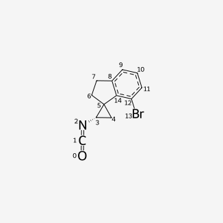 O=C=N[C@H]1CC12CCc1cccc(Br)c12